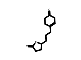 O=C1CC=C(CCCC2CCC(=O)O2)CC1